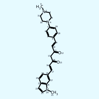 CN1CCN(c2ccc(/C=C/C(=O)CC(=O)/C=C/c3ccc4ccn(C)c4c3)cc2)CC1